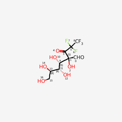 O=C[C@](O)(C(=O)C(F)(F)C(F)(F)F)[C@@H](O)[C@H](O)[C@H](O)CO